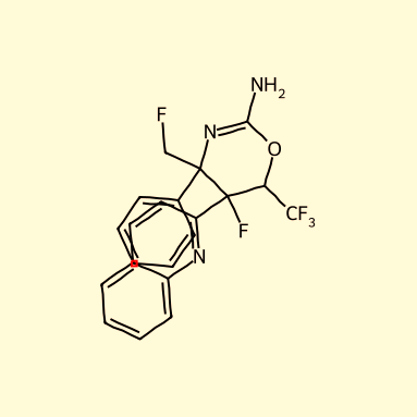 NC1=NC(CF)(c2ccccc2)C(F)(c2ccc3ccccc3n2)C(C(F)(F)F)O1